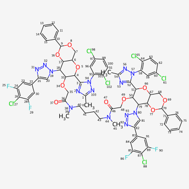 Cc1nc(C2OC3COC(c4ccccc4)OC3C(n3cc(-c4cc(F)c(Cl)c(F)c4)nn3)C2OCC(=O)N(C)CCCCN(C)C(=O)COC2C(c3nc(C)nn3-c3cc(Cl)ccc3Cl)OC3COC(c4ccccc4)OC3C2n2cc(-c3cc(F)c(Cl)c(F)c3)nn2)n(-c2cc(Cl)ccc2Cl)n1